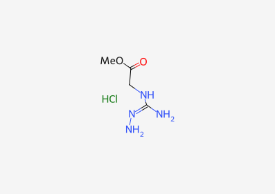 COC(=O)CNC(N)=NN.Cl